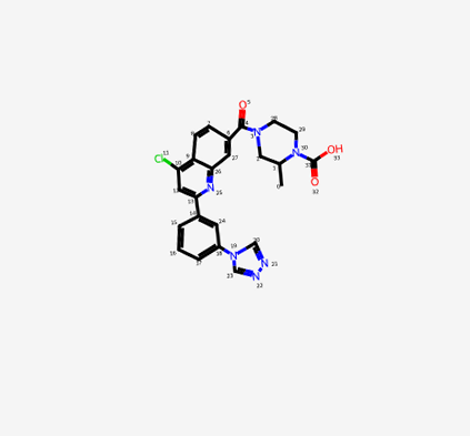 CC1CN(C(=O)c2ccc3c(Cl)cc(-c4cccc(-n5cnnc5)c4)nc3c2)CCN1C(=O)O